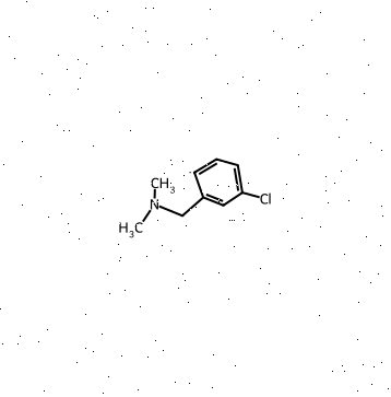 CN(C)Cc1[c]ccc(Cl)c1